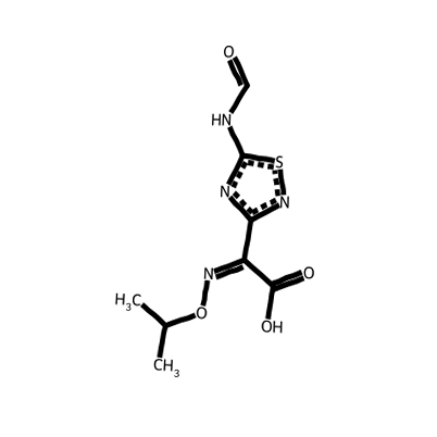 CC(C)O/N=C(\C(=O)O)c1nsc(NC=O)n1